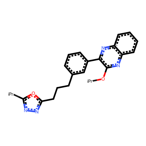 CC(C)Oc1nc2ccccc2nc1-c1cccc(CCCc2nnc(C(C)C)o2)c1